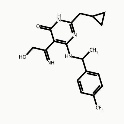 CC(Nc1nc(CC2CC2)[nH]c(=O)c1C(=N)CO)c1ccc(C(F)(F)F)cc1